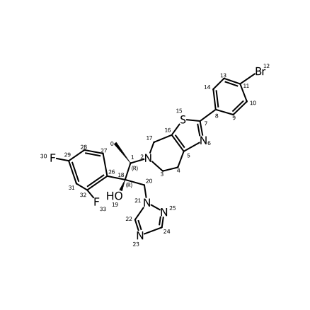 C[C@@H](N1CCc2nc(-c3ccc(Br)cc3)sc2C1)[C@](O)(Cn1cncn1)c1ccc(F)cc1F